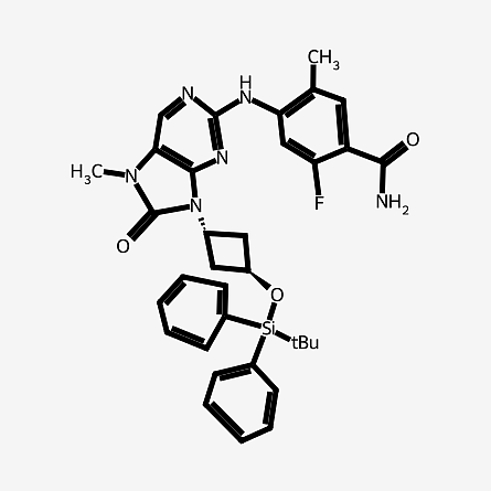 Cc1cc(C(N)=O)c(F)cc1Nc1ncc2c(n1)n([C@H]1C[C@H](O[Si](c3ccccc3)(c3ccccc3)C(C)(C)C)C1)c(=O)n2C